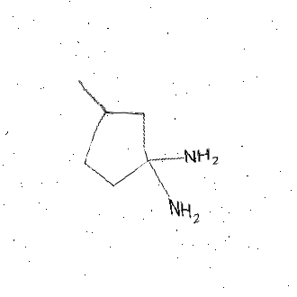 CC1CCC(N)(N)C1